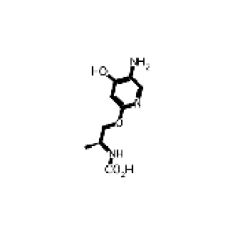 C[C@@H](COc1cc(O)c(N)cn1)NC(=O)O